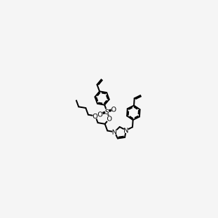 C=Cc1ccc(CN2C=CN(CC(COCCCC)OS(=O)(=O)c3ccc(C=C)cc3)C2)cc1